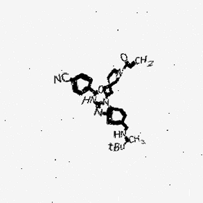 C=CC(=O)N1CC[C@]2(C1)C[C@H](n1c(NC(=O)c3ccc(C#N)cc3)nc3cc(CN[C@@H](C)C(C)(C)C)ccc31)C2